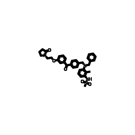 Cc1c(NS(C)(=O)=O)cccc1N(Cc1ccccc1)Cc1ccc(C(=O)c2cccc(OCCN3CCCC3=O)c2)cc1